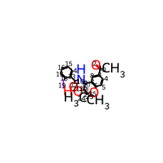 CC(=O)c1ccc2c(c1)[C@@H](NC(=O)c1ccccc1I)[C@H](O)C(C)(C)O2